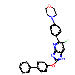 Clc1cc2[nH]c(Oc3ccc(-c4ccccc4)cc3)nc2nc1-c1ccc(N2CCOCC2)cc1